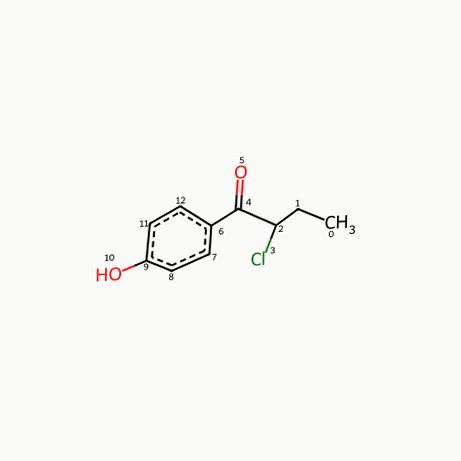 CCC(Cl)C(=O)c1ccc(O)cc1